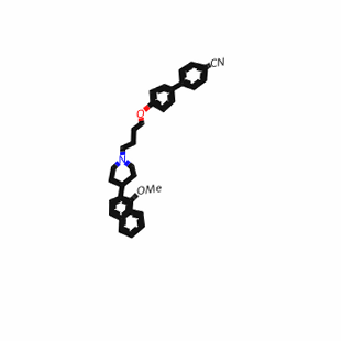 COc1c(C2CCN(CCCCOc3ccc(-c4ccc(C#N)cc4)cc3)CC2)ccc2ccccc12